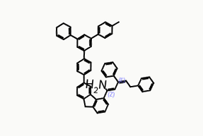 Cc1ccc(-c2cc(C3=CCCC=C3)cc(-c3ccc(-c4ccc5c(c4)-c4c(cccc4/C(N)=C/C(=C\Cc4ccccc4)c4ccccc4)C5)cc3)c2)cc1